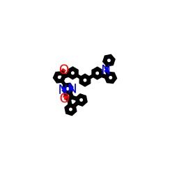 c1ccc(-n2c3ccccc3c3cc(-c4cccc(-c5ccc6oc7cccc(-c8cnc9c(n8)oc8c%10ccccc%10c%10ccccc%10c98)c7c6c5)c4)ccc32)cc1